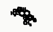 C/C=C1\CC(=O)CC2CC[C@@H]3[C@H](CC[C@]4(C)C(=O)CC[C@@H]34)[C@@]12C